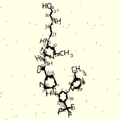 Cc1cn(-c2cc(Nc3ccc(C(=O)NNc4nc(C)cc(NCCNCCO)n4)nc3)cc(C(F)(F)F)c2)cn1